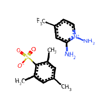 Cc1cc(C)c(S(=O)(=O)[O-])c(C)c1.Nc1cc(C(F)(F)F)cc[n+]1N